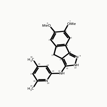 COc1cc2c(cc1OC)-c1n[nH]c(Nc3cc(C)cc(C)n3)c1C2